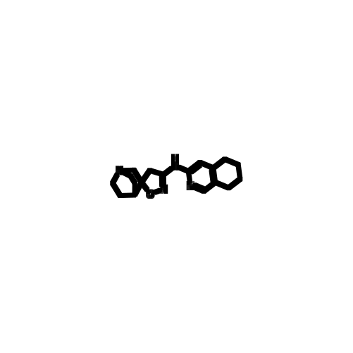 c1nc(NC2=NOC3(C2)CN2CCC3CC2)cc2c1CCCC2